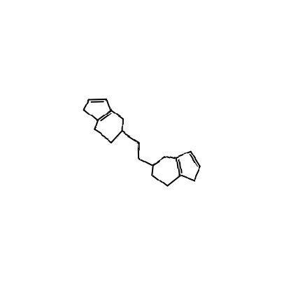 C1=CC2=C(C1)CCC(CCC1CCC3=C(C=CC3)C1)C2